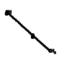 CCCCCCCCC=CCCCCCCCCCCCCCC(=O)OCCCCCCCCCCCCCCCCCCCCCCCCCCCCCCCCCCC(=O)O